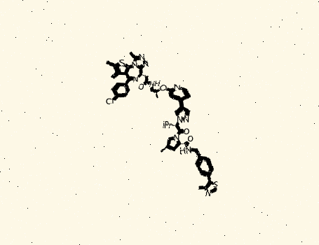 Cc1ncsc1-c1ccc(CNC(=O)[C@@H]2C[C@@H](C)CN2C(=O)[C@H](C(C)C)n2cc(-c3ccnc(O[C@@H](C)CNC(=O)C[C@@H]4N=C(c5ccc(Cl)cc5)c5c(sc(C)c5C)-n5c(C)nnc54)c3)cn2)cc1